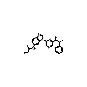 C=CC(=O)Nc1ccc2ncn(-c3cncc(N[C@@H](C)c4ccccc4)n3)c2c1